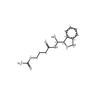 CC(=O)OCCCC(=O)NC(O)C1OBc2ccccc21